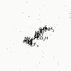 NC(=O)c1nc2nc(C(F)(F)F)cc(SCC3=C(C(=O)O)N4C(=O)[C@@H](NC(=O)C(=O)c5csc(N)n5)[C@H]4SC3)n2n1